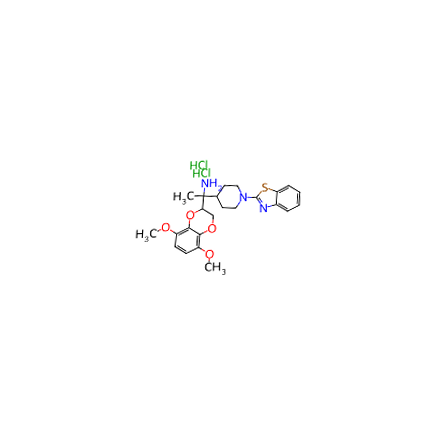 COc1ccc(OC)c2c1OCC(C(C)(N)C1CCN(c3nc4ccccc4s3)CC1)O2.Cl.Cl